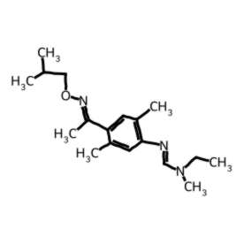 CCN(C)/C=N/c1cc(C)c(/C(C)=N/OCC(C)C)cc1C